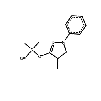 CC1CN(c2ccccc2)N=C1O[Si](C)(C)C(C)(C)C